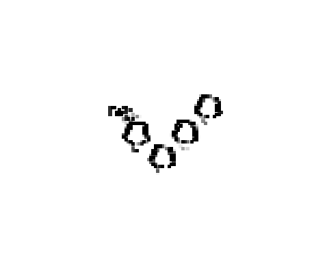 [Fe+2].[Fe+2].c1cc[cH-]c1.c1cc[cH-]c1.c1cc[cH-]c1.c1cc[cH-]c1